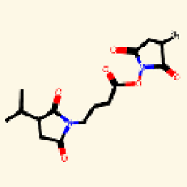 [2H]C1CC(=O)N(OC(=O)CCCN2C(=O)CC(C(C)C)C2=O)C1=O